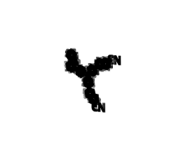 N#Cc1ccc2cc(-c3ccc(N(c4ccc(-c5ccc6cc(C#N)ccc6c5)cc4)c4ccc(-c5cccc6c5sc5ccccc56)cc4)cc3)ccc2c1